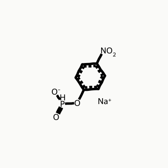 O=[N+]([O-])c1ccc(O[PH](=O)[O-])cc1.[Na+]